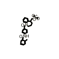 Cc1ccccc1C(=O)Nc1ccc(C(=O)N2CCCC(COS(C)(=O)=O)c3ccccc32)cc1